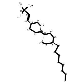 CCCCCCCC[C@H]1CC[C@H]([C@H]2CC[C@H](C=CC(F)(F)F)CC2)CC1